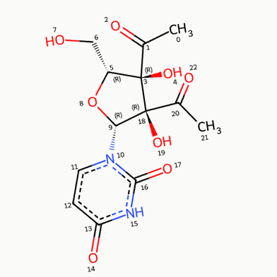 CC(=O)[C@@]1(O)[C@@H](CO)O[C@@H](n2ccc(=O)[nH]c2=O)[C@@]1(O)C(C)=O